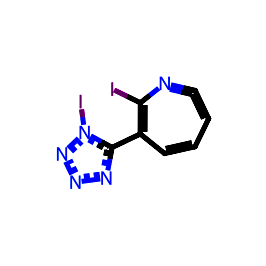 IC1=C(c2nnnn2I)C=CC=C=N1